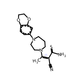 C/C(=C(\C#N)C(N)=S)N1CCCN(c2ccc3c(c2)OCCO3)CC1